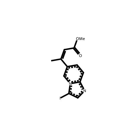 COC(=O)/C=C(/C)c1ccc2ncc(I)n2c1